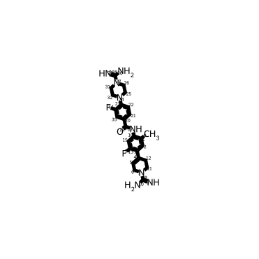 Cc1cc(C2=CCN(C(=N)N)CC2)c(F)cc1NC(=O)c1ccc(N2CCN(C(=N)N)CC2)c(F)c1